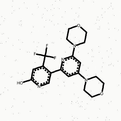 Oc1cc(C(F)(F)F)c(-c2cc(N3CCOCC3)cc(N3CCOCC3)n2)cn1